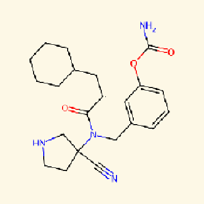 N#CC1(N(Cc2cccc(OC(N)=O)c2)C(=O)[CH]CC2CCCCC2)CCNC1